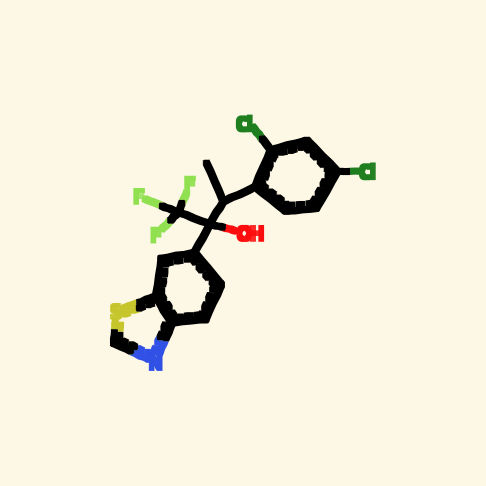 CC(c1ccc(Cl)cc1Cl)C(O)(c1ccc2ncsc2c1)C(F)(F)F